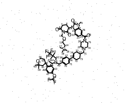 Cn1c(=O)n(C2CCC(=O)N(COCC[Si](C)(C)C)C2=O)c2ccc(C(=O)N3CCN(CC4CC=C(c5ccc(CN(CC[C@@]6(c7ccc(OC(F)F)cc7)CCOC(C)(C)C6)CC(C)(C)C(F)(F)F)cc5)CC4)CC3)cc21